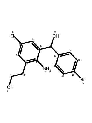 Nc1c(CCO)cc(Cl)cc1C(O)c1ccc(Br)cc1